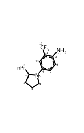 CCCC1CCCN1c1ccc(N)c(C(F)(F)F)c1